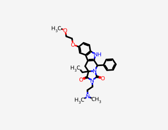 CCC12Cc3c([nH]c4ccc(OCCOC)cc34)C(c3ccccc3)N1C(=O)N(CCN(C)C)C2=O